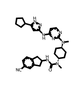 CN(C(=O)NC1Cc2ccc(C#N)cc2C1)[C@H]1CC[C@H](N(C)c2nccc(Nc3cc(C4CCCC4)[nH]n3)n2)CC1